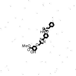 COC(=O)c1cc(OCc2cnc(-c3cccc(NS(=O)(=O)CCc4ccccc4)c3)nc2)ccc1O